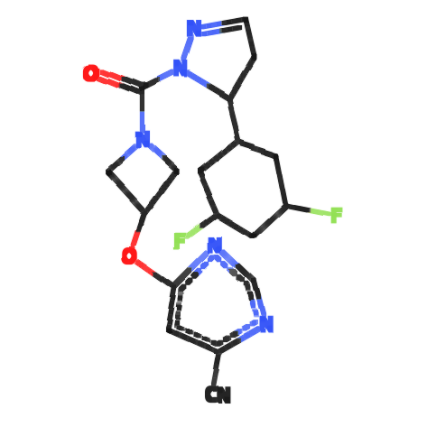 N#Cc1cc(OC2CN(C(=O)N3N=CCC3C3CC(F)CC(F)C3)C2)ncn1